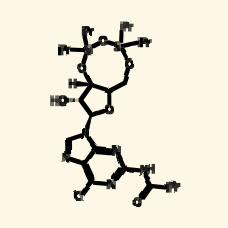 CC(C)C(=O)Nc1nc(Cl)c2ncn([C@@H]3OC4CO[Si](C(C)C)(C(C)C)O[Si](C(C)C)(C(C)C)O[C@H]4[C@H]3O)c2n1